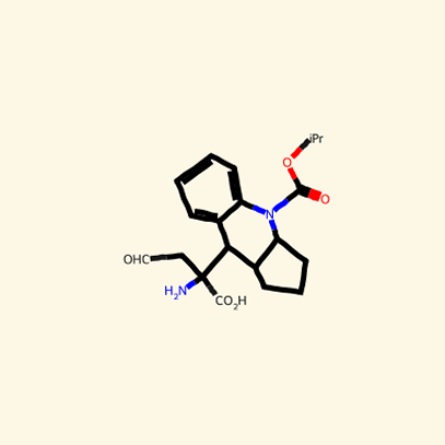 CC(C)OC(=O)N1c2ccccc2C(C(N)(CC=O)C(=O)O)C2CCCC21